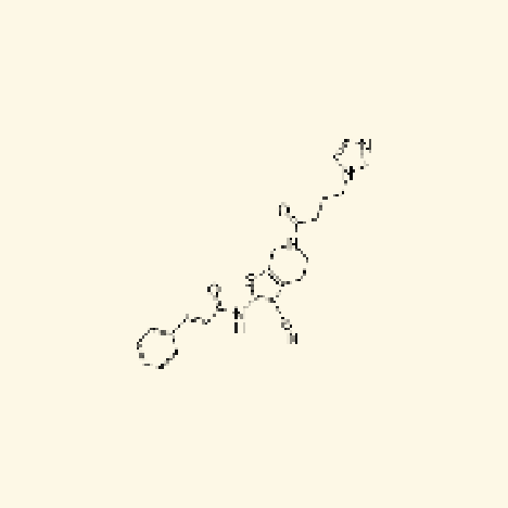 N#Cc1c(NC(=O)/C=C/c2ccccc2)sc2c1CCN(C(=O)CCCn1ccnc1)C2